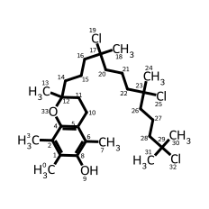 Cc1c(C)c2c(c(C)c1O)CCC(C)(CCCC(C)(Cl)CCCC(C)(Cl)CCCC(C)(C)Cl)O2